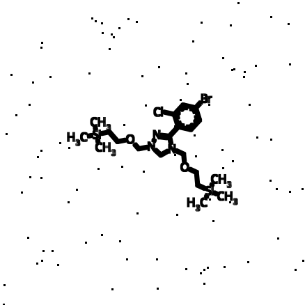 C[Si](C)(C)CCOCN1CN(COCC[Si](C)(C)C)C(c2ccc(Br)cc2Cl)=N1